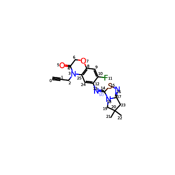 C#CCN1C(=O)COc2cc(F)c(/N=c3\snc4n3CC(C)(C)C4)cc21